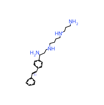 NCCCNCCCCNCCC(N)c1ccc(/C=C/c2ccccc2)cc1